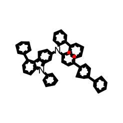 c1ccc(-c2ccc(-c3ccc(N(c4ccc5c6c(-c7ccccc7)cccc6n(-c6ccccc6)c5c4)c4ccccc4-c4ccccc4)cc3)cc2)cc1